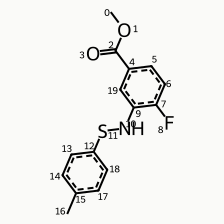 COC(=O)c1ccc(F)c(NSc2ccc(C)cc2)c1